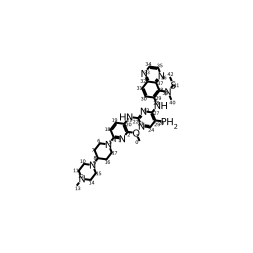 COc1nc(N2CCC(N3CCN(C)CC3)CC2)ccc1Nc1ncc(P)c(Nc2ccc3nccnc3c2N(C)SC)n1